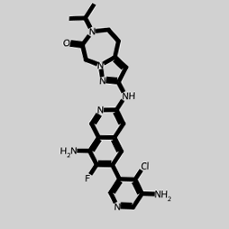 CC(C)N1CCc2cc(Nc3cc4cc(-c5cncc(N)c5Cl)c(F)c(N)c4cn3)nn2CC1=O